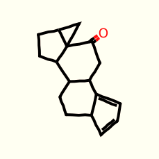 O=C1CC2C3=CC=CC3CCC2C2CCC3CC132